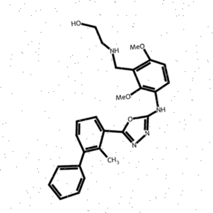 COc1ccc(Nc2nnc(-c3cccc(-c4ccccc4)c3C)o2)c(OC)c1CNCCO